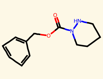 O=C(OCc1ccccc1)N1CCCCN1